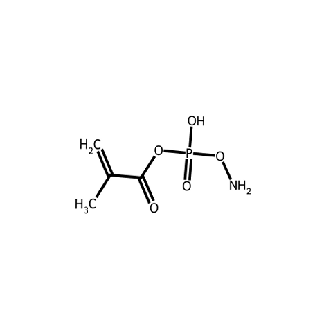 C=C(C)C(=O)OP(=O)(O)ON